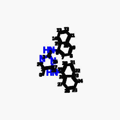 Cc1cnc(Nc2cccc3ccccc23)nc1Nc1cccc2ccccc12